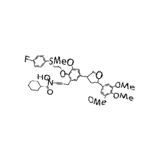 COc1cc(C2COC(c3cc(OC)c(OC)c(OC)c3)C2)cc(CC#CN(O)C(=O)C2CCCCC2)c1OCCSc1ccc(F)cc1